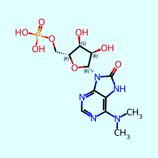 CN(C)c1ncnc2c1[nH]c(=O)n2[C@@H]1O[C@H](COP(=O)(O)O)[C@@H](O)[C@H]1O